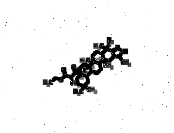 CCOC(=O)C(C)C(=O)[C@]12CCC(C)(C)CC1C1=CCC3[C@@]4(C)Cc5c(n[nH]c5C)C(C)(C)C4CC[C@@]3(C)[C@]1(C)CC2